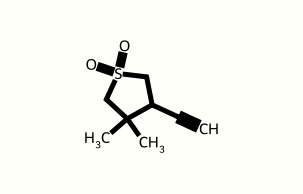 C#CC1CS(=O)(=O)CC1(C)C